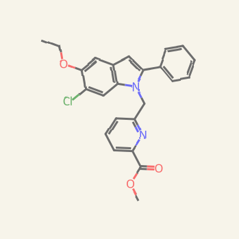 CCOc1cc2cc(-c3ccccc3)n(Cc3cccc(C(=O)OC)n3)c2cc1Cl